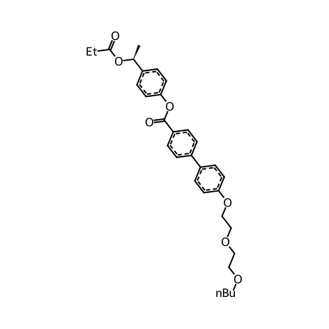 CCCCOCCOCCOc1ccc(-c2ccc(C(=O)Oc3ccc([C@H](C)OC(=O)CC)cc3)cc2)cc1